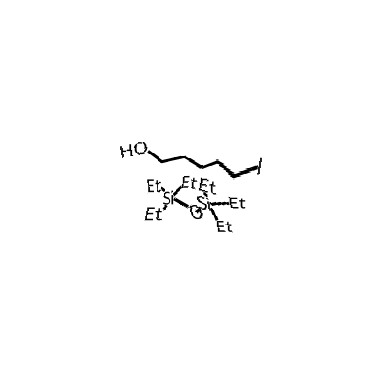 CC[Si](CC)(CC)O[Si](CC)(CC)CC.OCCCCCI